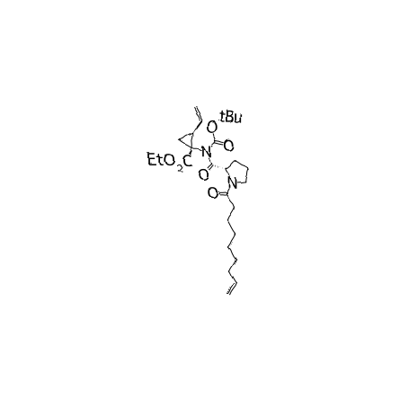 C=CCCCCCCC(=O)N1CCC[C@H]1C(=O)N(C(=O)OC(C)(C)C)[C@]1(C(=O)OCC)C[C@H]1C=C